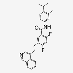 Cc1cc(NC(=O)c2cc(CCc3cncc4ccccc34)c(F)cc2F)ccc1C(C)C